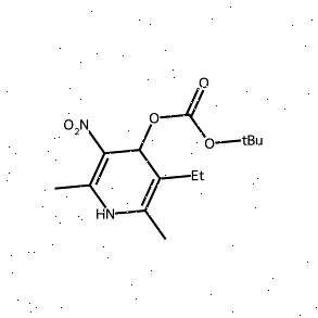 CCC1=C(C)NC(C)=C([N+](=O)[O-])C1OC(=O)OC(C)(C)C